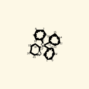 c1ccc([Si](c2ccccc2)(c2ccccc2)C2CCCCO2)cc1